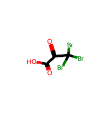 O=C(O)C(=O)C(Br)(Br)Br